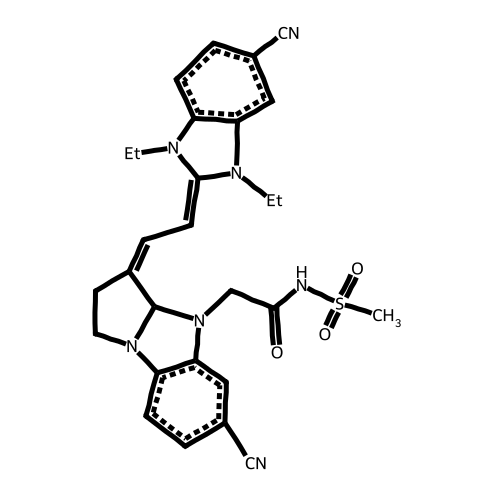 CCN1C(=CC=C2CCN3c4ccc(C#N)cc4N(CC(=O)NS(C)(=O)=O)C23)N(CC)c2cc(C#N)ccc21